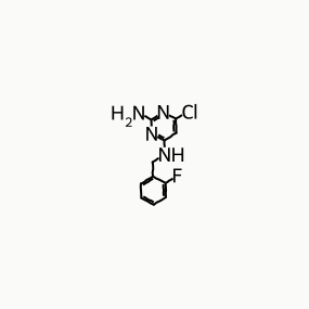 Nc1nc(Cl)cc(NCc2ccccc2F)n1